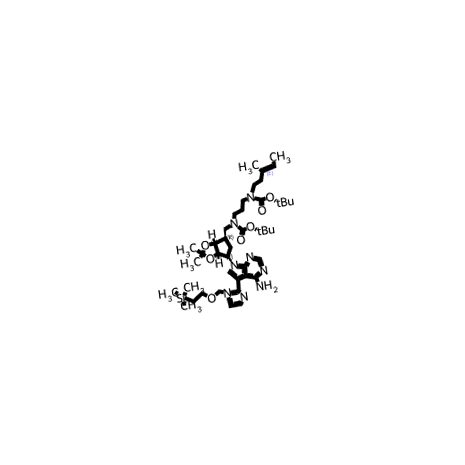 C/C=C(\C)CCN(CCCN(C[C@H]1C[C@@H](n2cc(-c3nccn3COCC[Si](C)(C)C)c3c(N)ncnc32)[C@@H]2OC(C)(C)O[C@H]12)C(=O)OC(C)(C)C)C(=O)OC(C)(C)C